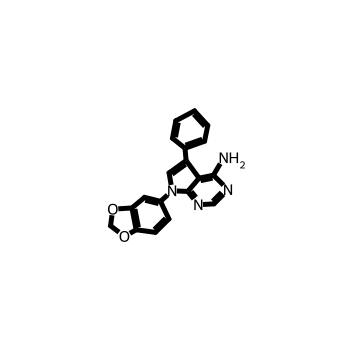 Nc1ncnc2c1c(-c1ccccc1)cn2-c1ccc2c(c1)OCO2